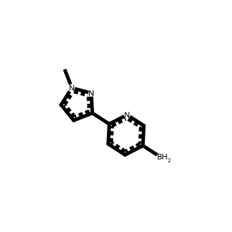 Bc1ccc(-c2ccn(C)n2)nc1